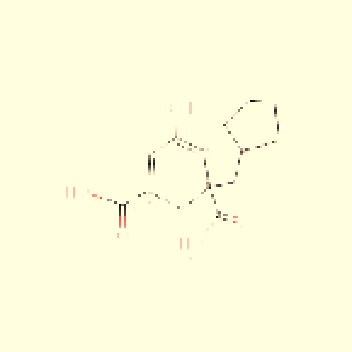 CC1=CC(CC2CCCC2)(C(=O)O)CC(C(=O)O)=C1